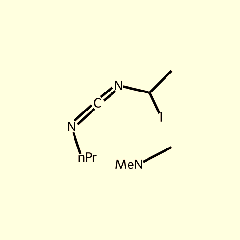 CCCN=C=NC(C)I.CNC